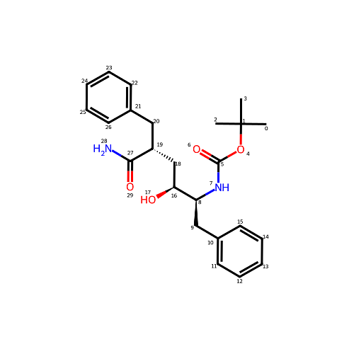 CC(C)(C)OC(=O)N[C@@H](Cc1ccccc1)[C@@H](O)C[C@@H](Cc1ccccc1)C(N)=O